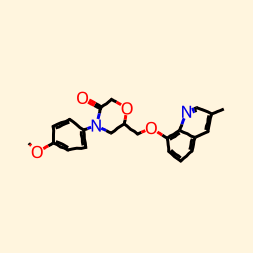 COc1ccc(N2CC(COc3cccc4cc(C)cnc34)OCC2=O)cc1